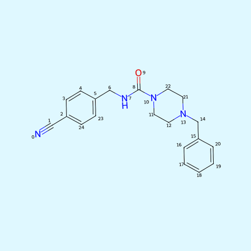 N#Cc1ccc(CNC(=O)N2CCN(Cc3ccccc3)CC2)cc1